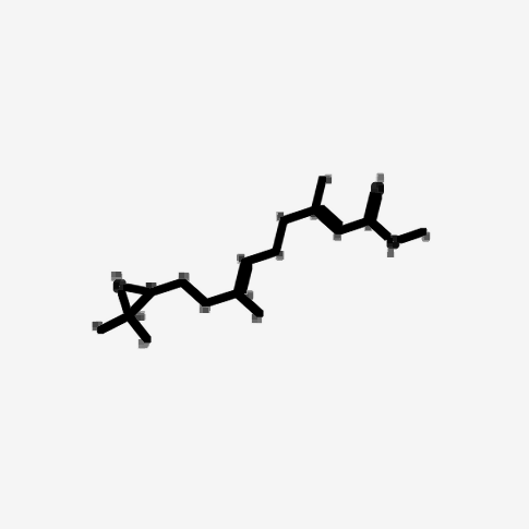 COC(=O)C=C(C)CCC=C(C)CCC1OC1(C)C